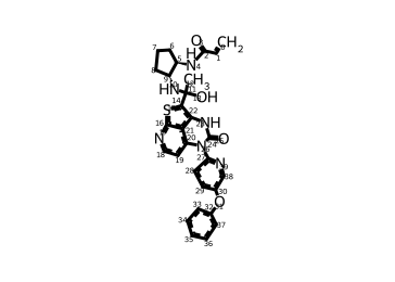 C=CC(=O)N[C@@H]1CCC[C@H]1NC(C)(O)c1sc2nccc3c2c1NC(=O)N3c1ccc(Oc2ccccc2)cn1